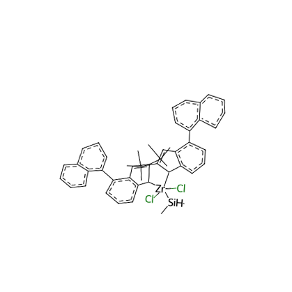 C[SiH](C)[Zr]([Cl])([Cl])([CH]1C(C(C)(C)C)=Cc2c(-c3cccc4ccccc34)cccc21)[CH]1C(C(C)(C)C)=Cc2c(-c3cccc4ccccc34)cccc21